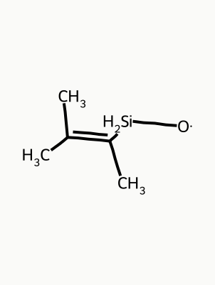 CC(C)=C(C)[SiH2][O]